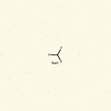 FC(F)F.[NaH]